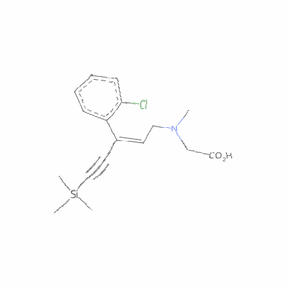 CN(C/C=C(/C#C[Si](C)(C)C)c1ccccc1Cl)CC(=O)O